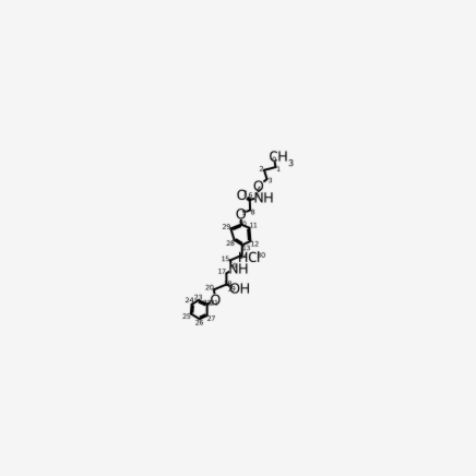 CCCCONC(=O)COc1ccc(CCNCC(O)COc2ccccc2)cc1.Cl